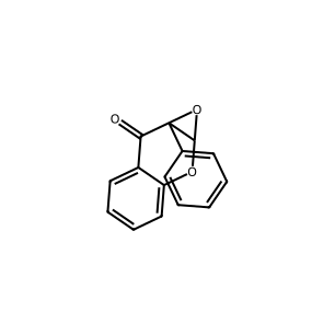 O=C1c2ccccc2OC2OC12c1ccccc1